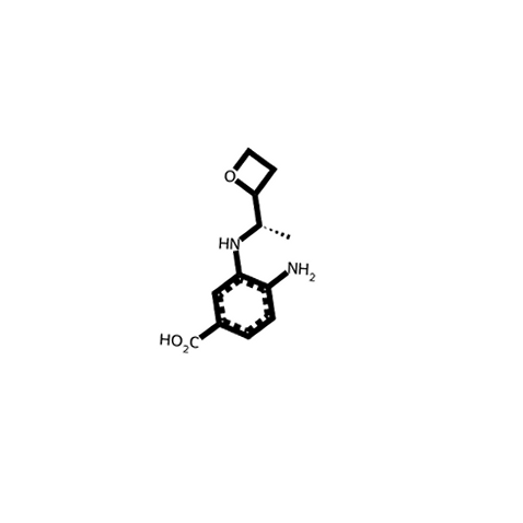 C[C@H](Nc1cc(C(=O)O)ccc1N)C1CCO1